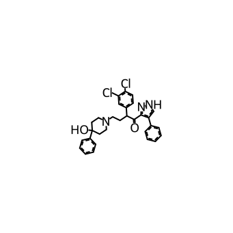 O=C(c1n[nH]cc1-c1ccccc1)C(CCN1CCC(O)(c2ccccc2)CC1)c1ccc(Cl)c(Cl)c1